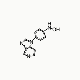 ONc1ccc(-n2cnc3cnccc32)cc1